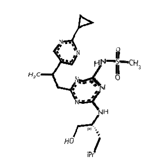 CC(C)C[C@H](CO)Nc1nc(CC(C)c2cnc(C3CC3)nc2)nc(NS(C)(=O)=O)n1